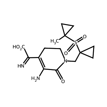 CC1(S(=O)(=O)C2(CN3CCC(C(=N)C(=O)O)=C(N)C3=O)CC2)CC1